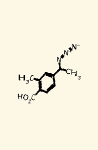 Cc1cc(C(C)N=[N+]=[N-])ccc1C(=O)O